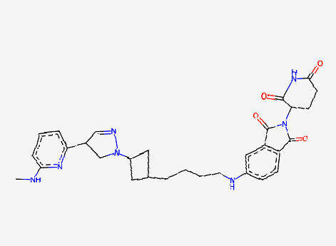 CNc1cccc(C2C=NN(C3CC(CCCCNc4ccc5c(c4)C(=O)N(C4CCC(=O)NC4=O)C5=O)C3)C2)n1